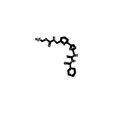 CCOC(=O)NCc1cccc(-c2csc(NC(=S)NC(=O)c3ccccc3)n2)n1